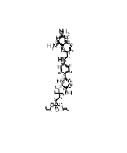 CCOP(=O)(CCC(C)(C)C[C@H](NC(=O)c1ccc(NCc2cnc3nc(N)nc(N)c3n2)cc1)C(=O)O)OCC